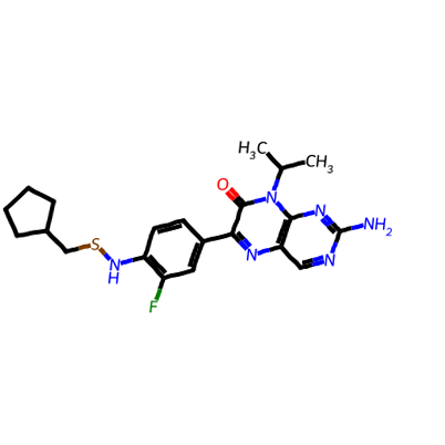 CC(C)n1c(=O)c(-c2ccc(NSCC3CCCC3)c(F)c2)nc2cnc(N)nc21